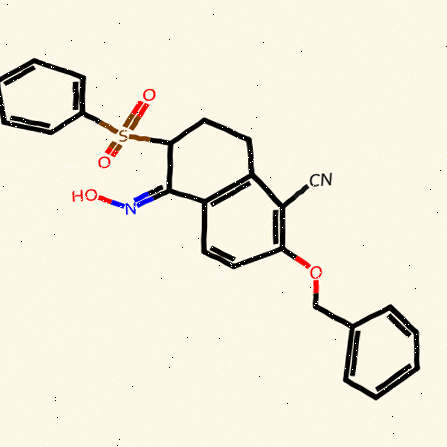 N#Cc1c(OCc2ccccc2)ccc2c1CCC(S(=O)(=O)c1ccccc1)C2=NO